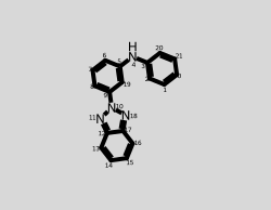 c1ccc(Nc2cccc(-n3nc4ccccc4n3)c2)cc1